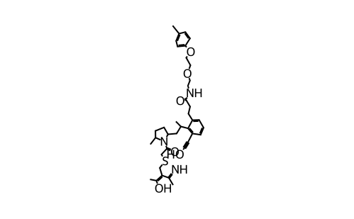 CC(=N)/C(CSCC(=O)N1C(C)CCC1CC(C)c1c(C#CO)cccc1CCC(=O)NCCOCCOc1ccc(C)cc1)=C(/C)O